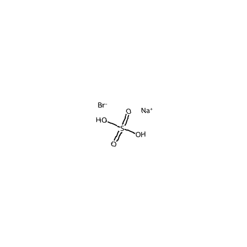 O=S(=O)(O)O.[Br-].[Na+]